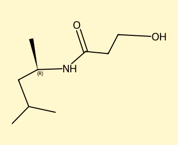 CC(C)C[C@@H](C)NC(=O)CCO